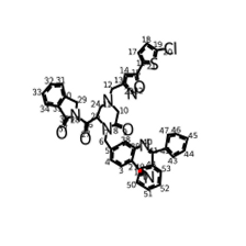 N#Cc1ccc(CN2C(=O)CN(Cc3cc(-c4ccc(Cl)s4)on3)CC2C(=O)N2Cc3ccccc3C2=O)cc1N=C(c1ccccc1)c1ccccc1